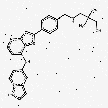 CC(C)(CO)CNCc1ccc(-c2cc3nccc(Nc4ccc5[nH]ccc5c4)c3s2)cc1